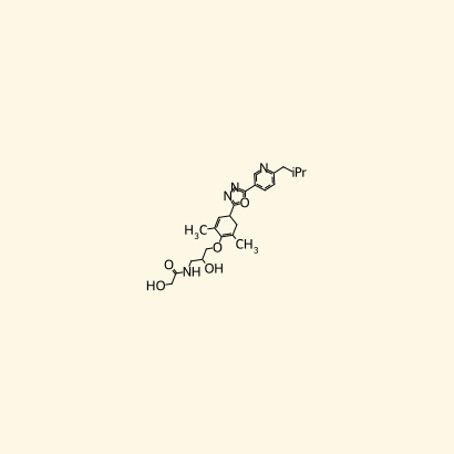 CC1=CC(c2nnc(-c3ccc(CC(C)C)nc3)o2)CC(C)=C1OCC(O)CNC(=O)CO